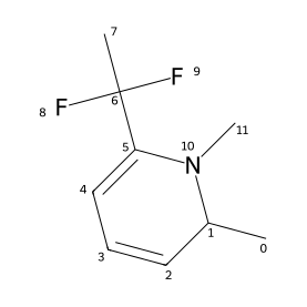 CC1C=CC=C(C(C)(F)F)N1C